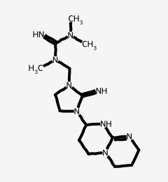 CN(C)C(=N)N(C)CN1CCN(C2CCN3CCCN=C3N2)C1=N